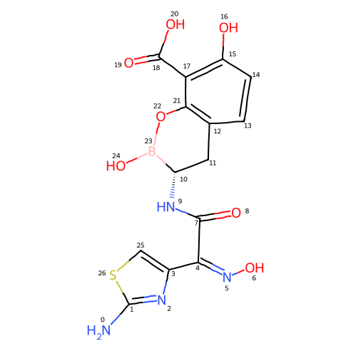 Nc1nc(/C(=N/O)C(=O)N[C@H]2Cc3ccc(O)c(C(=O)O)c3OB2O)cs1